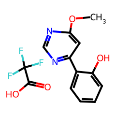 COc1cc(-c2ccccc2O)ncn1.O=C(O)C(F)(F)F